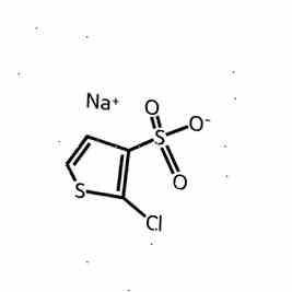 O=S(=O)([O-])c1ccsc1Cl.[Na+]